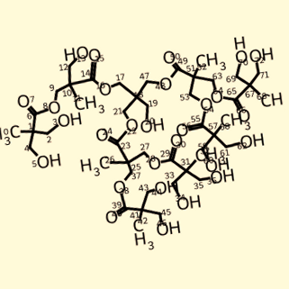 CC(CO)(CO)C(=O)OCC(C)(CO)C(=O)OCC(CO)(COC(=O)C(C)(COC(=O)C(C)(CO)CO)COC(=O)C(C)(CO)CO)COC(=O)C(C)(COC(=O)C(C)(CO)CO)COC(=O)C(C)(CO)CO